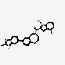 CCn1c(C(=O)N2CCOc3ccc(-c4ccc5nc(C)[nH]c5c4)cc3C2)cc2c(F)cccc21